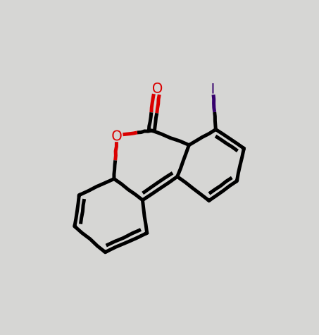 O=C1OC2C=CC=CC2=C2C=CC=C(I)C12